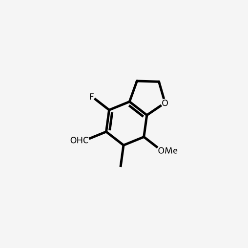 COC1C2=C(CCO2)C(F)=C(C=O)C1C